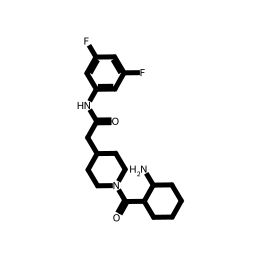 NC1CCCCC1C(=O)N1CCC(CC(=O)Nc2cc(F)cc(F)c2)CC1